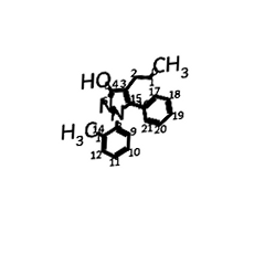 CCCc1c(O)nn(-c2ccccc2C)c1-c1ccccc1